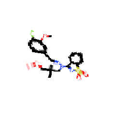 COc1cc(/C=N/N(CC(C)(C)CO)C2=NS(=O)(=O)c3ccccc32)ccc1F